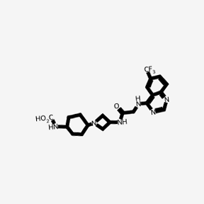 O=C(O)NC1CCC(N2CC(NC(=O)CNc3ncnc4ccc(C(F)(F)F)cc34)C2)CC1